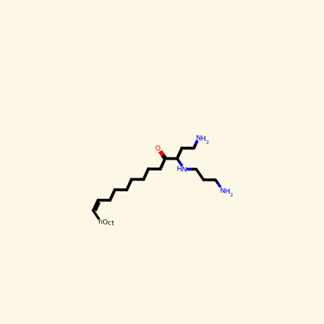 CCCCCCCC/C=C\CCCCCCCC(=O)C(CCN)NCCCN